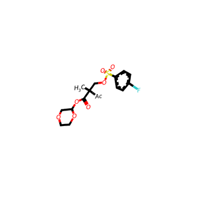 CC(=O)C(C)(COS(=O)(=O)c1ccc(F)cc1)C(=O)OC1COCCO1